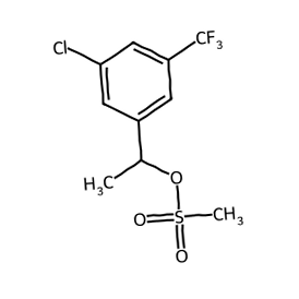 CC(OS(C)(=O)=O)c1cc(Cl)cc(C(F)(F)F)c1